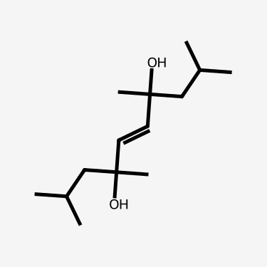 CC(C)CC(C)(O)/C=C/C(C)(O)CC(C)C